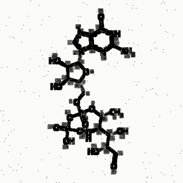 C[C@@H](OP(=O)(OC[C@H]1O[C@@H](n2cnc3c(=O)[nH]c(N)nc32)[C@H](O)[C@@H]1O)OP(=O)(O)O)[C@H](O)[C@H](O)[C@@H](O)C=O